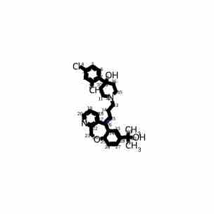 Cc1cc(Cl)ccc1C1(O)CCN(CC/C=C2\c3cccnc3COC3C=CC(C(C)(C)O)=CC23)CC1